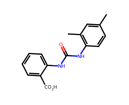 Cc1ccc(NC(=O)Nc2ccccc2C(=O)O)c(C)c1